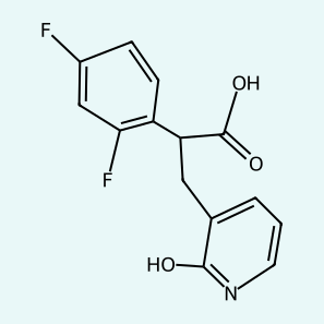 O=C(O)C(Cc1cccnc1O)c1ccc(F)cc1F